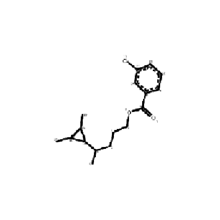 CC(CCCOC(=O)c1[c]ccc(Cl)c1)C1C(C)C1C